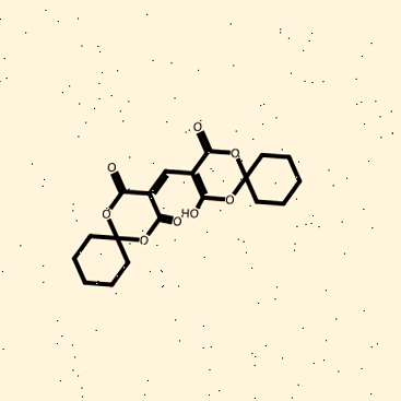 O=C1OC2(CCCCC2)OC(=O)C1=CC1=C(O)OC2(CCCCC2)OC1=O